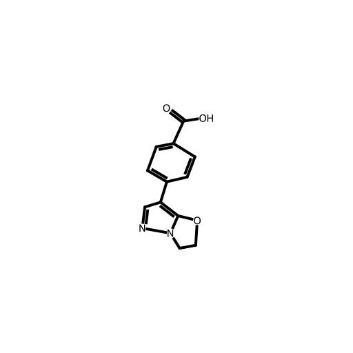 O=C(O)c1ccc(-c2cnn3c2OCC3)cc1